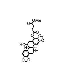 COC(=O)CCC(=O)Oc1c2c(cc3c1OCO3)[C@@H]1[C@@H](c3ccc4c(c3CN1C)OCO4)[C@@H](O)C2